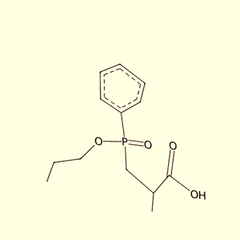 CCCOP(=O)(CC(C)C(=O)O)c1ccccc1